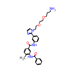 Cc1ccc(C(=O)Nc2cccc(-c3nccn3CCOCCOCCCN)c2)cc1NC(=O)c1ccccc1